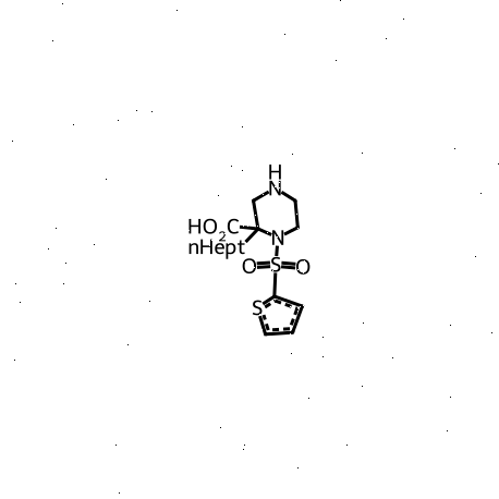 CCCCCCCC1(C(=O)O)CNCCN1S(=O)(=O)c1cccs1